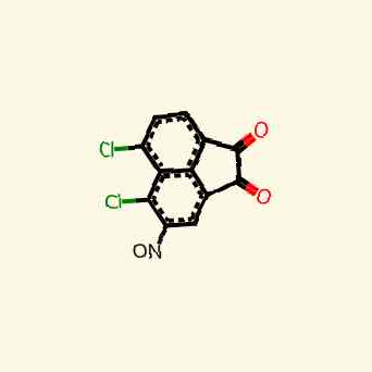 O=Nc1cc2c3c(ccc(Cl)c3c1Cl)C(=O)C2=O